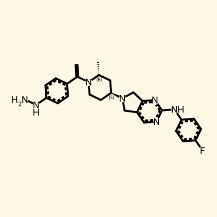 C=C(c1ccc(NN)cc1)N1CC[C@H](N2Cc3cnc(Nc4ccc(F)cc4)nc3C2)C[C@H]1C